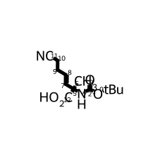 CC(C)(C)OC(=O)NC(C)(C=CCCC#N)C(=O)O